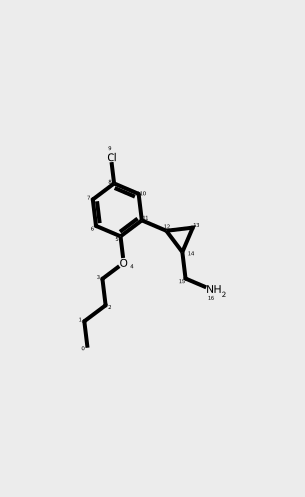 CCCCOc1ccc(Cl)cc1C1CC1CN